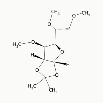 COC[C@@H](OC)[C@H]1O[C@@H]2OC(C)(C)O[C@@H]2[C@H]1OC